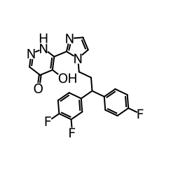 O=c1cn[nH]c(-c2nccn2CCC(c2ccc(F)cc2)c2ccc(F)c(F)c2)c1O